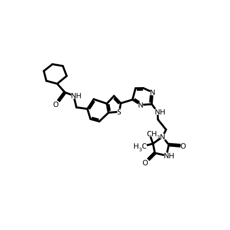 CC1(C)C(=O)NC(=O)N1CCNc1nccc(-c2cc3cc(CNC(=O)C4CCCCC4)ccc3s2)n1